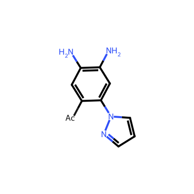 CC(=O)c1cc(N)c(N)cc1-n1cccn1